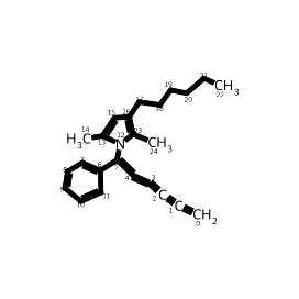 C=C=C=C=C=C(c1ccccc1)n1c(C)cc(CCCCCC)c1C